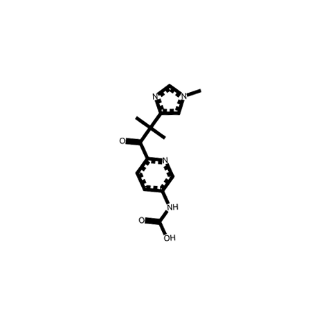 Cn1cnc(C(C)(C)C(=O)c2ccc(NC(=O)O)cn2)c1